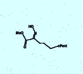 CCCCCCCCC(=NO)C(=O)OC